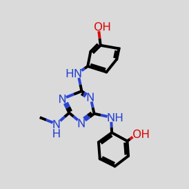 CNc1nc(Nc2cccc(O)c2)nc(Nc2ccccc2O)n1